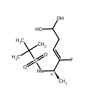 C[C@@H](NS(=O)(=O)C(C)(C)C)C(F)=CCC(O)O